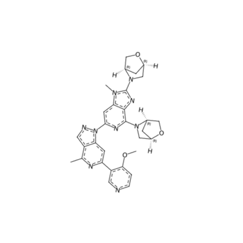 COc1ccncc1-c1cc2c(cnn2-c2cc3c(nc(N4C[C@H]5C[C@@H]4CO5)n3C)c(N3C[C@H]4C[C@@H]3CO4)n2)c(C)n1